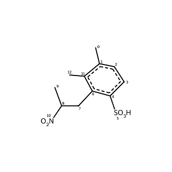 Cc1ccc(S(=O)(=O)O)c(CC(C)[N+](=O)[O-])c1C